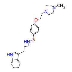 CN1CCN(CCOc2ccc(SNCCCc3c[nH]c4ccccc34)cc2)CC1